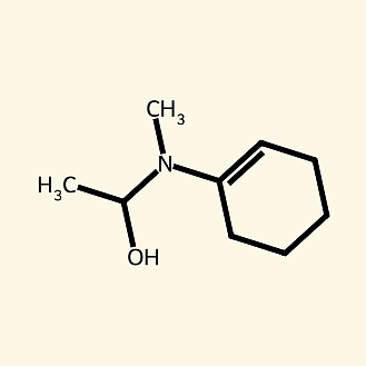 CC(O)N(C)C1=CCCCC1